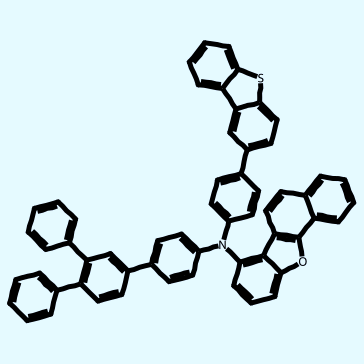 c1ccc(-c2ccc(-c3ccc(N(c4ccc(-c5ccc6sc7ccccc7c6c5)cc4)c4cccc5oc6c7ccccc7ccc6c45)cc3)cc2-c2ccccc2)cc1